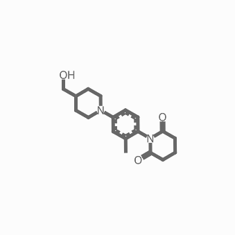 Cc1cc(N2CCC(CO)CC2)ccc1N1C(=O)CCCC1=O